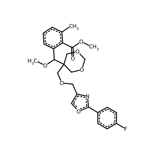 COC(=O)c1c(C)cccc1C(OC)C1(COCc2coc(-c3ccc(F)cc3)n2)COCOC1